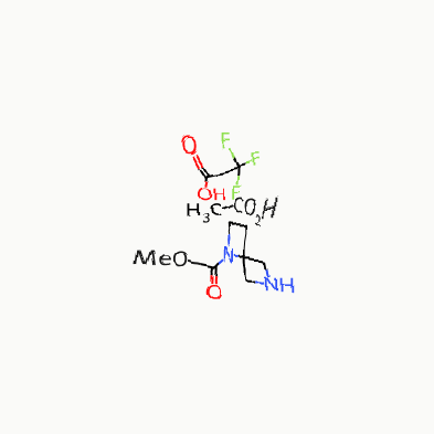 CC(=O)O.COC(=O)N1CCC12CNC2.O=C(O)C(F)(F)F